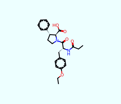 CCOc1ccc(C[C@@H](NC(=O)CC)C(=O)N2CC[C@H](c3ccccc3)[C@H]2C(=O)O)cc1